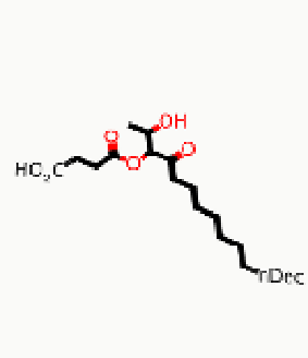 CCCCCCCCCCCCCCCCCC(=O)C(OC(=O)CCC(=O)O)C(C)O